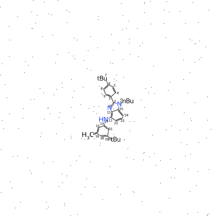 CCCCn1c(-c2ccc(C(C)(C)C)cc2)nc2c(Nc3cc(C)cc(C(C)(C)C)c3)cccc21